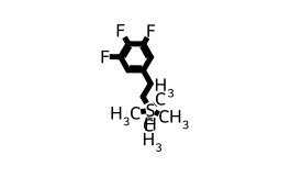 C[SH](C)(C)(C)CCc1cc(F)c(F)c(F)c1